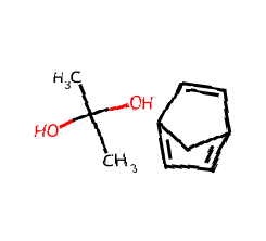 C1=CC2=CC=C1C2.CC(C)(O)O